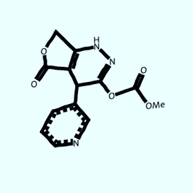 COC(=O)OC1=NNC2=C(C(=O)OC2)C1c1cccnc1